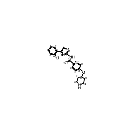 O=C(Nc1nc(-c2ccccc2Cl)cs1)c1ccc(OC2CCNCC2)cn1